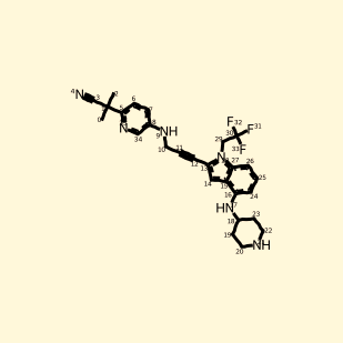 CC(C)(C#N)c1ccc(NCC#Cc2cc3c(NC4CCNCC4)cccc3n2CC(F)(F)F)cn1